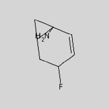 NC12C=CC(F)CC1C2